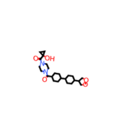 O=C(C1CCC(C2CCC(C3COOC3)CC2)CC1)N1CCN(C(=O)C2(O)CC2)CC1